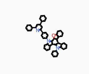 c1ccc(-c2cc(-c3ccccc3)nc(-c3ccc(-n4c5ccccc5c5c4c4oc6ccccc6c4c4c6ccccc6n(-c6ccccc6)c45)cc3)c2)cc1